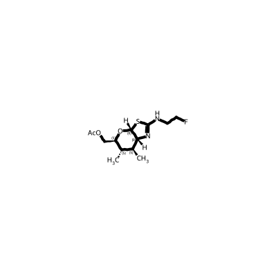 CC(=O)OC[C@H]1O[C@@H]2SC(NCCF)=N[C@@H]2[C@@H](C)[C@@H]1C